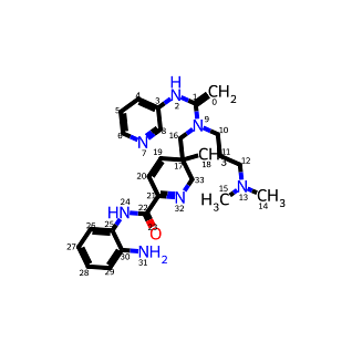 C=C(Nc1cccnc1)N(CCCN(C)C)CC1(C)C=CC(C(=O)Nc2ccccc2N)=NC1